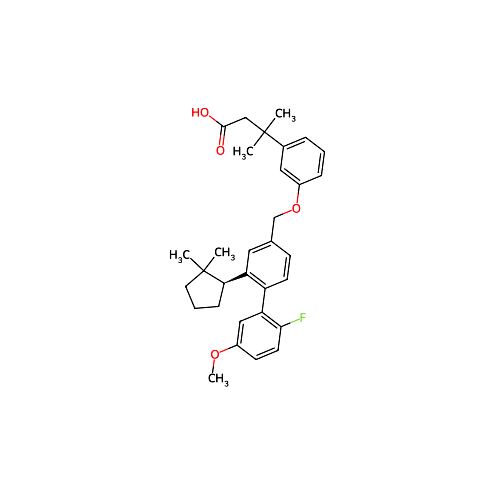 COc1ccc(F)c(-c2ccc(COc3cccc(C(C)(C)CC(=O)O)c3)cc2[C@H]2CCCC2(C)C)c1